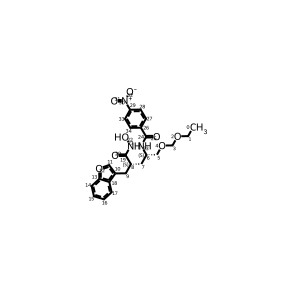 CCOCOC[C@H](C[C@H](Cc1coc2ccccc12)C(=O)NO)NC(=O)c1ccc([N+](=O)[O-])cc1